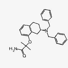 CC(C)(Oc1cccc2c1C[C@H](N(Cc1ccccc1)Cc1ccccc1)CC2)C(N)=O